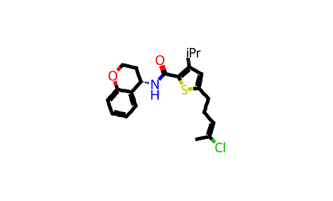 C/C(Cl)=C\CCc1cc(C(C)C)c(C(=O)N[C@H]2CCOc3ccccc32)s1